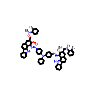 CCOc1c(CON(CC)c2ccccc2CC)cc2ccc3c4ccccc4[nH]c3c2c1N=Nc1ccc(N(c2ccccc2)c2ccc(N=Nc3c(OCC)c(C(=O)N(CC)c4ccccc4CC)cc4ccc5c6ccccc6[nH]c5c34)cc2)cc1